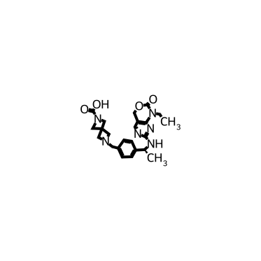 CCN1C(=O)OCc2cnc(N[C@@H](C)c3ccc(CN4CC5(C4)CN(C(=O)O)C5)cc3)nc21